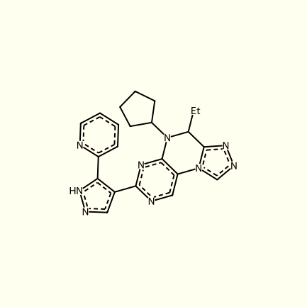 CCC1c2nncn2-c2cnc(-c3cn[nH]c3-c3ccccn3)nc2N1C1CCCC1